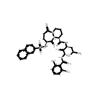 CC(C)C[C@H](NC(=O)[C@@H]1CCCN2C(=O)CC[C@H](NS(=O)(=O)c3ccc4ccccc4c3)C(=O)N12)C(=O)COC(=O)c1c(Cl)cccc1Cl